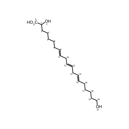 O=C(O)C(O)CCCCCC=CCC=CCC=CCCCCCO